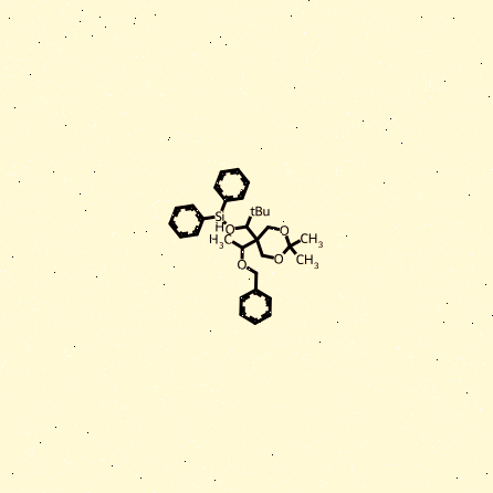 CC(OCc1ccccc1)C1(C(O[SiH](c2ccccc2)c2ccccc2)C(C)(C)C)COC(C)(C)OC1